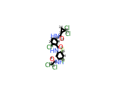 O=C(Nc1cc(NC(=O)C(Cl)Cl)c(F)cc1F)c1cc(NC(=O)C2CC2(Cl)Cl)ccc1Cl